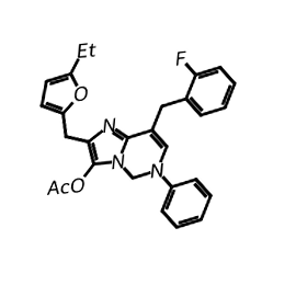 CCc1ccc(Cc2nc3n(c2OC(C)=O)CN(c2ccccc2)C=C3Cc2ccccc2F)o1